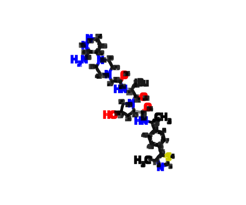 Cc1ncsc1-c1ccc([C@H](C)NC(=O)[C@@H]2C[C@@H](O)CN2C(=O)[C@@H](NC(=O)CN2CCN(c3ccnnc3N)CC2)C(C)(C)C)cc1